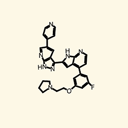 Fc1cc(OCCN2CCCC2)cc(-c2ccnc3[nH]c(-c4n[nH]c5ncc(-c6ccncc6)cc45)cc23)c1